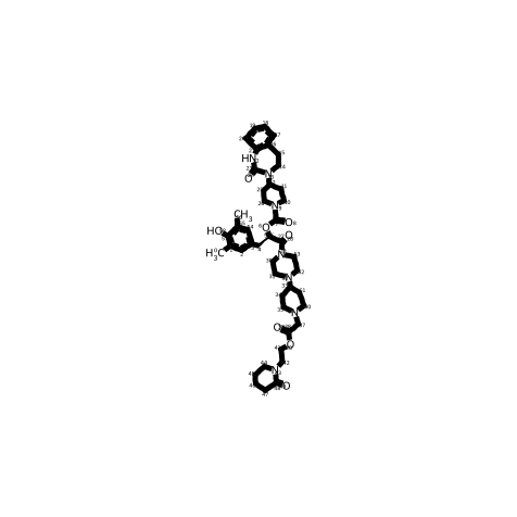 Cc1cc(C[C@@H](OC(=O)N2CCC(N3CCc4ccccc4NC3=O)CC2)C(=O)N2CCN(C3CCN(CC(=O)OCCN4CCCCC4=O)CC3)CC2)cc(C)c1O